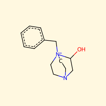 OC1CN2CC[N+]1(Cc1ccccc1)CC2